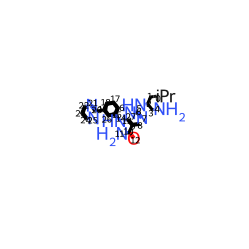 CC(C)CC(CN)Nc1ncc(C(N)=O)c(Nc2cccc(-c3ncccn3)c2)n1